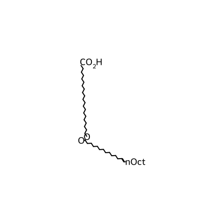 CCCCCCCCC=CCCCCCCCCCCCC(=O)OCCCCCCCCCCCCCCCCCCCCCC(=O)O